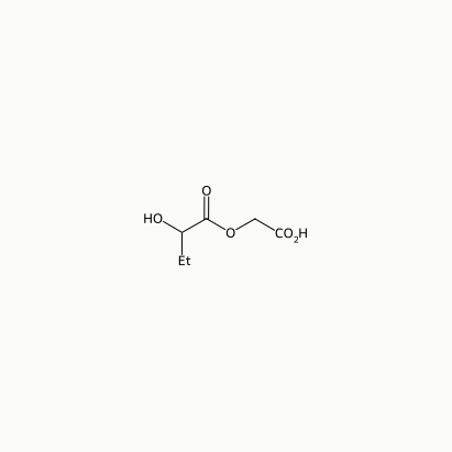 CCC(O)C(=O)OCC(=O)O